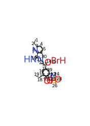 Br.CCc1ccc2c(n1)C(=N)N(CC(=O)c1cc(CC)c(O)c(N(C)S(C)(=O)=O)c1)C2